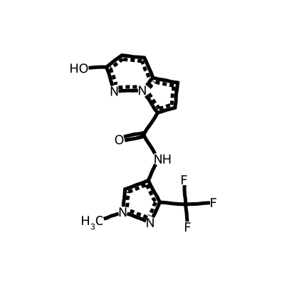 Cn1cc(NC(=O)c2ccc3ccc(O)nn23)c(C(F)(F)F)n1